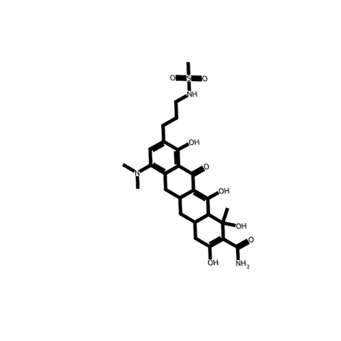 CN(C)c1cc(CCCNS(C)(=O)=O)c(O)c2c1CC1CC3CC(O)=C(C(N)=O)C(C)(O)C3C(O)=C1C2=O